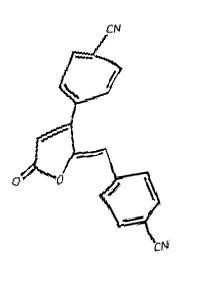 N#Cc1ccc(C=C2OC(=O)C=C2c2ccc(C#N)cc2)cc1